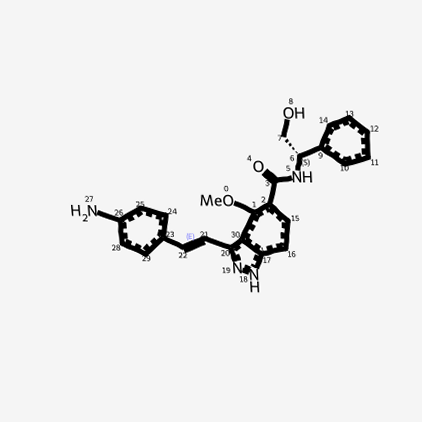 COc1c(C(=O)N[C@H](CO)c2ccccc2)ccc2[nH]nc(/C=C/c3ccc(N)cc3)c12